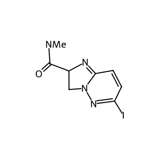 CNC(=O)C1CN2N=C(I)C=CC2=N1